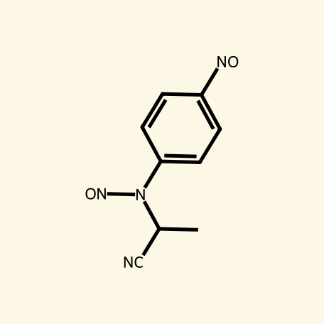 CC(C#N)N(N=O)c1ccc(N=O)cc1